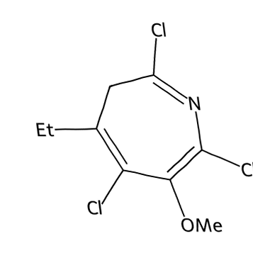 CCC1=C(Cl)C(OC)=C(Cl)N=C(Cl)C1